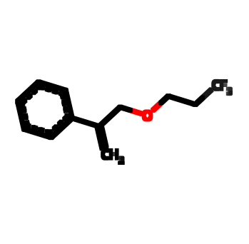 C=C(COCCC(F)(F)F)c1ccccc1